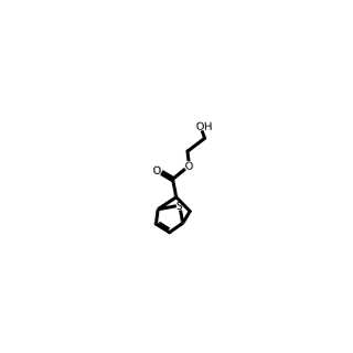 O=C(OCCO)C1CC2C=CC1S2